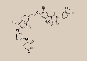 CCc1cc(N2C(=S)N(c3ccc(C#N)c(C(F)(F)F)c3)C(=O)C2(C)C)ccc1OCCN1CCN([C@H](C)C(=O)Nc2cccc(NC3CCC(=O)NC3=O)c2)[C@H](C)C1